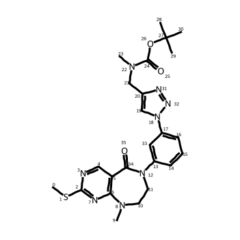 CSc1ncc2c(n1)N(C)CCN(c1cccc(-n3cc(CN(C)C(=O)OC(C)(C)C)nn3)c1)C2=O